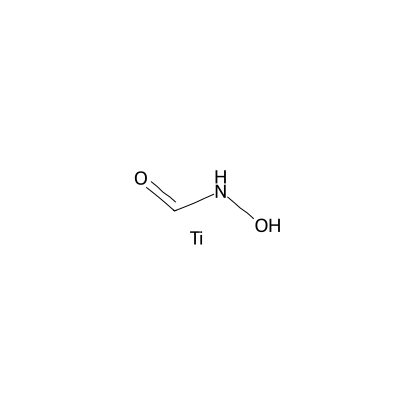 O=CNO.[Ti]